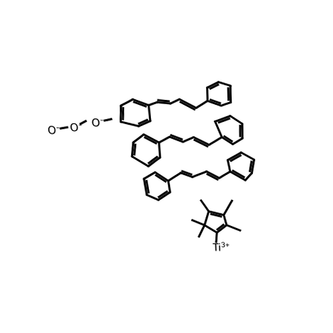 C(C=Cc1ccccc1)=Cc1ccccc1.C(C=Cc1ccccc1)=Cc1ccccc1.C(C=Cc1ccccc1)=Cc1ccccc1.CC1=C(C)C(C)(C)[C]([Ti+3])=C1C.C[O-].C[O-].C[O-]